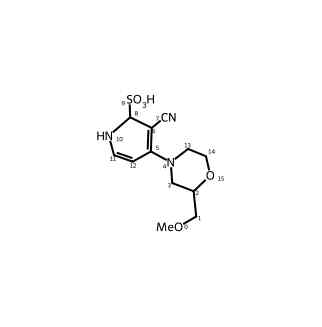 COCC1CN(C2=C(C#N)C(S(=O)(=O)O)NC=C2)CCO1